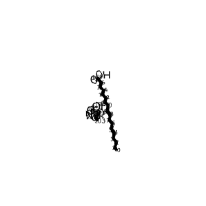 CCCCCCCCCCCCCCCCCC(=O)O.COS(=O)(=O)O.N